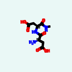 CNC(=O)[C@H](CC(=O)O)NC(=O)[C@@H](N)CC(=O)O